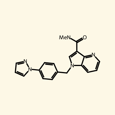 CNC(=O)c1cn(Cc2ccc(-n3cccn3)cc2)c2cccnc12